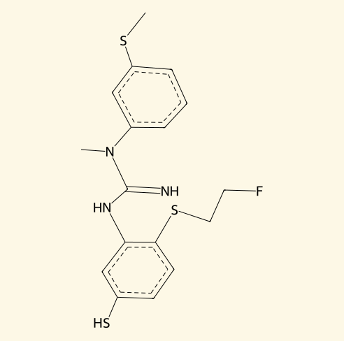 CSc1cccc(N(C)C(=N)Nc2cc(S)ccc2SCCF)c1